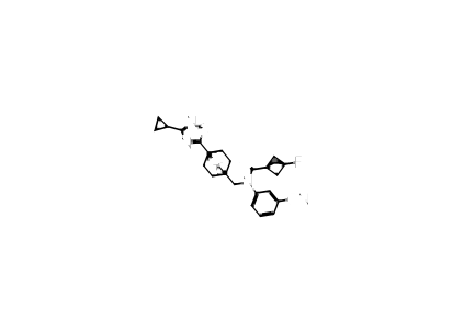 N#Cc1cccc(N(CC23CCC(c4nc(C5CC5)no4)(CC2)CC3)C(=O)C23CC(F)(C2)C3)c1